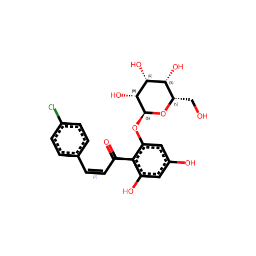 O=C(/C=C\c1ccc(Cl)cc1)c1c(O)cc(O)cc1O[C@@H]1O[C@@H](CO)[C@@H](O)[C@@H](O)[C@H]1O